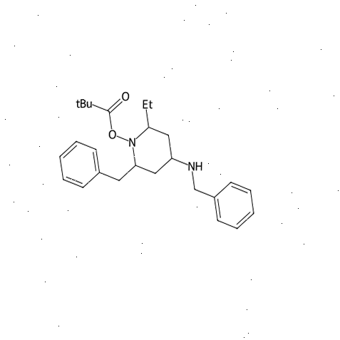 CCC1CC(NCc2ccccc2)CC(Cc2ccccc2)N1OC(=O)C(C)(C)C